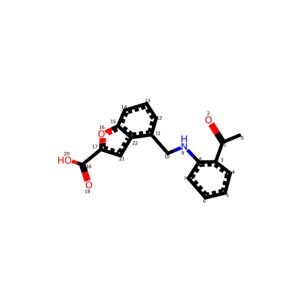 CC(=O)c1ccccc1NCc1cccc2oc(C(=O)O)cc12